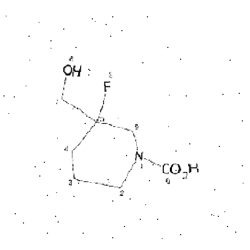 O=C(O)N1CCCC(F)(CO)C1